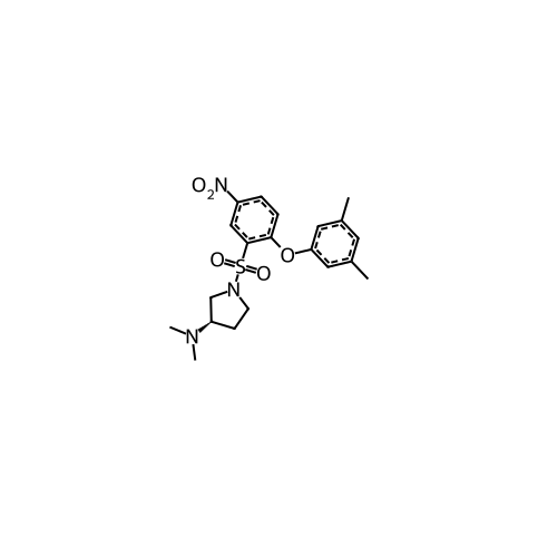 Cc1cc(C)cc(Oc2ccc([N+](=O)[O-])cc2S(=O)(=O)N2CC[C@@H](N(C)C)C2)c1